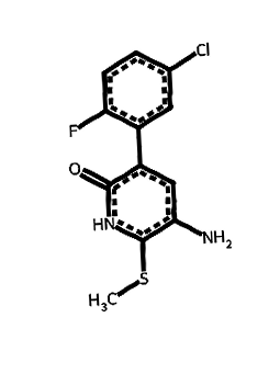 CSc1[nH]c(=O)c(-c2cc(Cl)ccc2F)cc1N